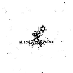 CCCCCCCCCCCCS(=O)(=O)Nc1ccc(OC(Cl)(C(=O)Nc2ccccc2)C(=O)C(C)(C)C)cc1NS(=O)(=O)CCCCCCCCCCCC